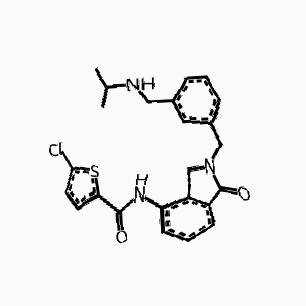 CC(C)NCc1cccc(CN2Cc3c(NC(=O)c4ccc(Cl)s4)cccc3C2=O)c1